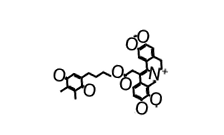 COc1ccc2c(CC(=O)OCCCCC3=CC(=O)C(C)=C(C)C3=O)c3[n+](cc2c1OC)CCc1cc2c(cc1-3)OCO2